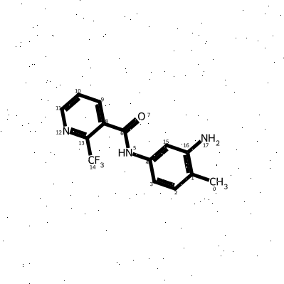 Cc1ccc(NC(=O)c2cccnc2C(F)(F)F)cc1N